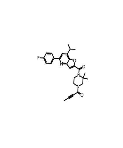 CC#CC(=O)N1CCN(C(=O)c2cc3nc(-c4ccc(F)cc4)cc(C(C)C)c3o2)C(C)(C)C1